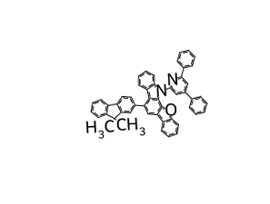 CC1(C)c2ccccc2-c2ccc(-c3cc4c5ccccc5oc4c4c3c3ccccc3n4-c3cc(-c4ccccc4)cc(-c4ccccc4)n3)cc21